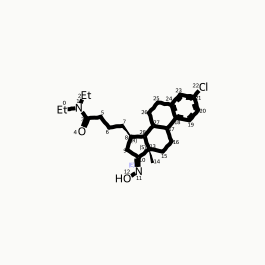 CCN(CC)C(=O)CCC[C@@H]1C/C(=N\O)[C@@]2(C)CCC3c4ccc(Cl)cc4CCC3C12